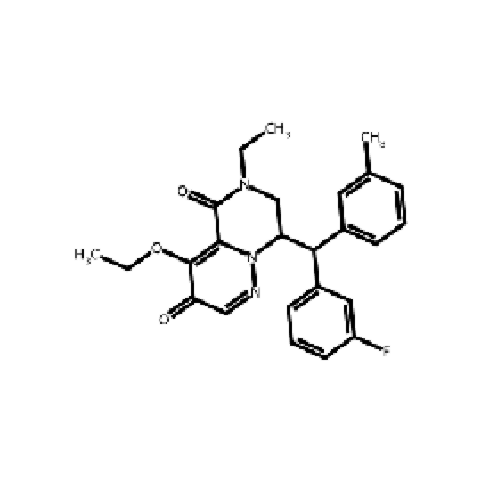 CCOc1c2n(ncc1=O)C(C(c1cccc(C)c1)c1cccc(F)c1)CN(CC)C2=O